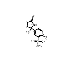 NS(=O)(=O)c1cc(C2(O)CCC(=O)N2)ccc1Cl